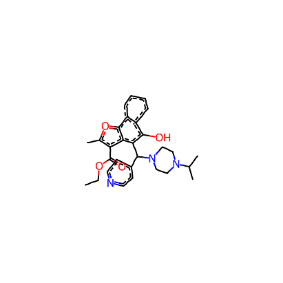 CCOC(=O)c1c(C)oc2c1c(C(c1ccncc1)N1CCN(C(C)C)CC1)c(O)c1ccccc12